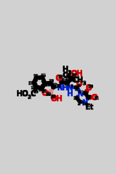 CCN1CCN(C(=O)N[C@@H](C(=O)N[C@H]2Cc3cccc(C(=O)O)c3OB2O)C(C)(C)O)C(=O)C1=O